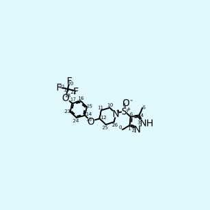 Cc1n[nH]c(C)c1[S+]([O-])N1CCC(Oc2ccc(OC(F)(F)F)cc2)CC1